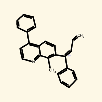 C=C/C=C(/c1ccccc1)c1ccc2c(-c3ccccc3)ccnc2c1C